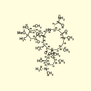 COC1(C)C[C@H](O[C@H]2[C@H](C)[C@@H](O[C@@H]3O[C@H](C)C[C@H](N(C)C)[C@H]3O)[C@](C)(O)C[C@@H](C)CN(C)C(=O)C[C@@H](CC(N)=O)NC[C@@H]2C)O[C@@H](C)[C@@H]1O